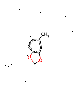 Cc1ccc2c(c1)O[CH]O2